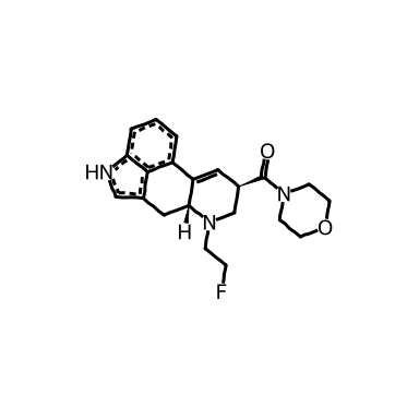 O=C([C@@H]1C=C2c3cccc4[nH]cc(c34)C[C@H]2N(CCF)C1)N1CCOCC1